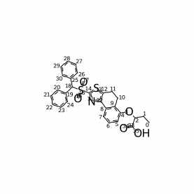 CCC(Oc1cccc2c1CCc1sc(S(=O)(=O)C(c3ccccc3)c3ccccc3)nc1-2)C(=O)O